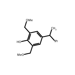 COCc1cc(C(C)C(C)C)cc(COC)c1O